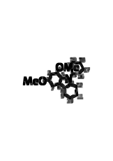 COc1cc(OC)c2c(c1)c1ccccc1n2C1C=CC=CC1